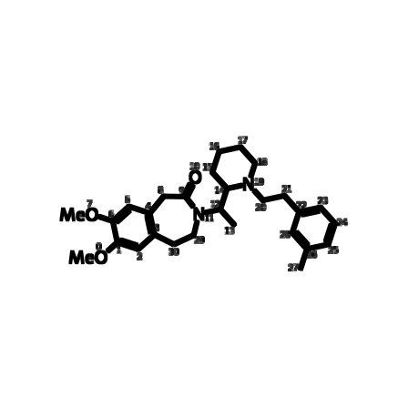 COc1cc2c(cc1OC)CC(=O)N(C(C)C1CCCCN1CCc1cccc(C)c1)CC2